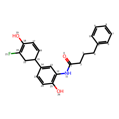 O=C(CCCc1ccccc1)Nc1cc(C2C=CC(O)=C(F)C2)ccc1O